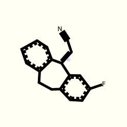 N#C/C=C1\c2ccccc2CCc2ccc(F)cc21